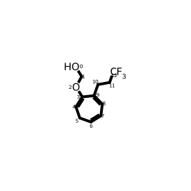 OCOC1=CCC=CC=C1CCC(F)(F)F